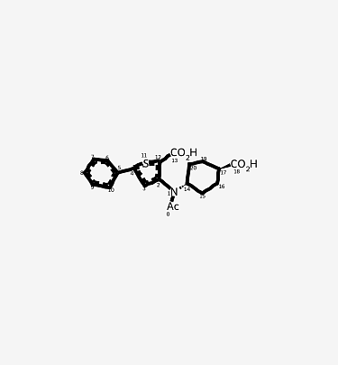 CC(=O)N(c1cc(-c2ccccc2)sc1C(=O)O)[C@H]1CC[C@H](C(=O)O)CC1